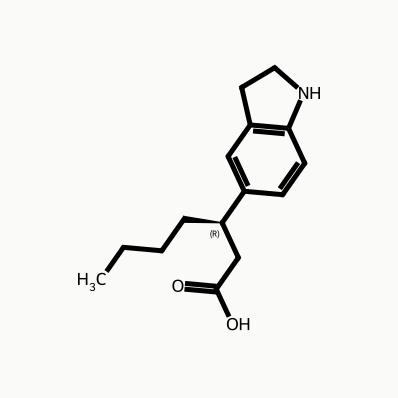 CCCC[C@H](CC(=O)O)c1ccc2c(c1)CCN2